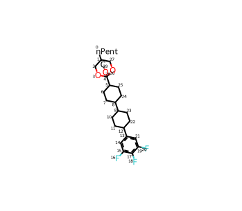 CCCCCC12COC(C3CCC(C4CCC(c5cc(F)c(F)c(F)c5)CC4)CC3)(OC1)OC2